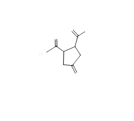 O=C1CC(C(=O)O)C(C(=O)O)C1